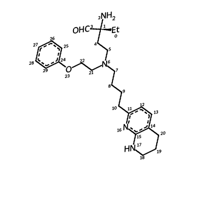 CC[C@](N)(C=O)CCN(CCCCc1ccc2c(n1)NCCC2)CCOc1ccccc1